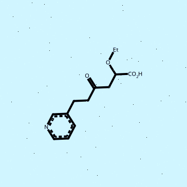 CCOC(CC(=O)CCc1cccnc1)C(=O)O